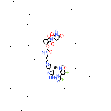 CC(C)N1CCOc2c(F)cc(-c3nc(Nc4ccc(C5CCN(CCCCNC(=O)COc6cccc7c6C(=O)N(C6CCC(=O)NC6=O)C7=O)CC5)nc4)ncc3F)cc21